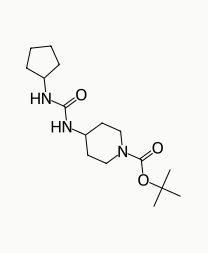 CC(C)(C)OC(=O)N1CCC(NC(=O)NC2CCCC2)CC1